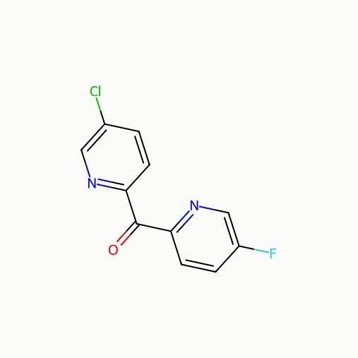 O=C(c1ccc(F)cn1)c1ccc(Cl)cn1